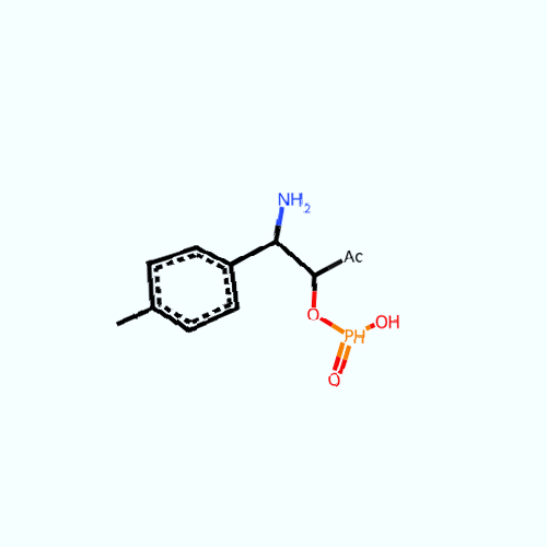 CC(=O)C(O[PH](=O)O)C(N)c1ccc(C)cc1